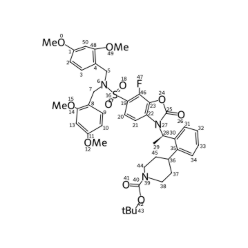 COc1ccc(CN(Cc2ccc(OC)cc2OC)S(=O)(=O)c2ccc3c(oc(=O)n3[C@H](C)c3ccccc3C3CCN(C(=O)OC(C)(C)C)CC3)c2F)c(OC)c1